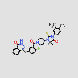 CC1(C)C(=O)N(c2ccc(C#N)c(C(F)(F)F)c2)C(=S)N1C1CCN(C(=O)c2cc(Cc3n[nH]c(=O)c4ccccc34)ccc2F)CC1